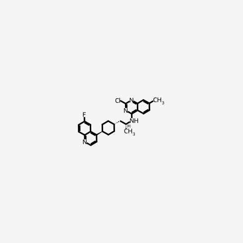 Cc1ccc2c(N[C@H](C)C[C@H]3CC[C@H](c4ccnc5ccc(F)cc54)CC3)nc(Cl)nc2c1